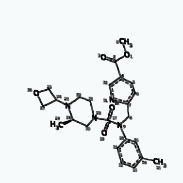 COC(=O)c1ccc(CN(c2cccc(C)c2)S(=O)(=O)N2CCN(C3COC3)[C@H](C)C2)nc1